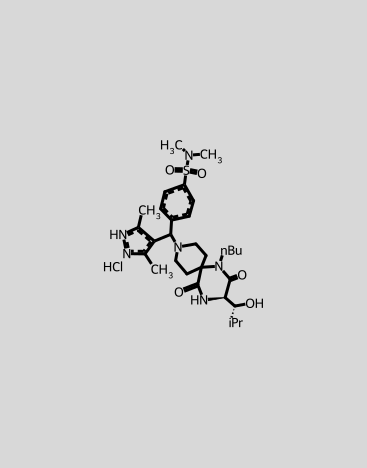 CCCCN1C(=O)[C@@H]([C@H](O)C(C)C)NC(=O)C12CCN(C(c1ccc(S(=O)(=O)N(C)C)cc1)c1c(C)n[nH]c1C)CC2.Cl